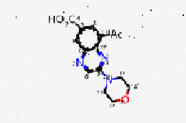 CC(=O)c1cc(C(=O)O)cc2ncc(N3CCOCC3)nc12